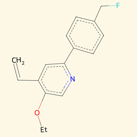 C=Cc1cc(-c2ccc(CF)cc2)ncc1OCC